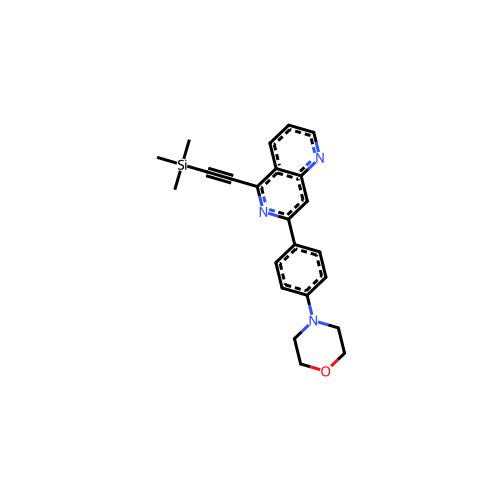 C[Si](C)(C)C#Cc1nc(-c2ccc(N3CCOCC3)cc2)cc2ncccc12